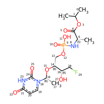 CC(C)OC(=O)[C@H](C)NP(=O)(O)OC[C@@H](O[C@H](C)n1ccc(=O)[nH]c1=O)[C@@H](O)CF